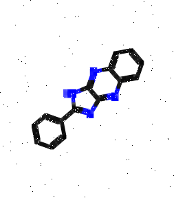 c1ccc(-c2nc3nc4ccccc4nc3[nH]2)cc1